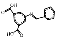 O=C(O)c1cc(/N=C/c2ccccc2)cc(C(=O)O)c1